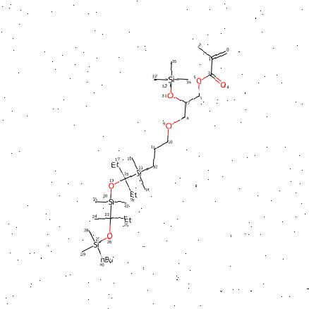 C=C(C)C(=O)OCC(COCCC[Si](C)(C)C(CC)(CC)O[Si](C)(C)C(C)(CC)O[Si](C)(C)CCCC)O[Si](C)(C)C